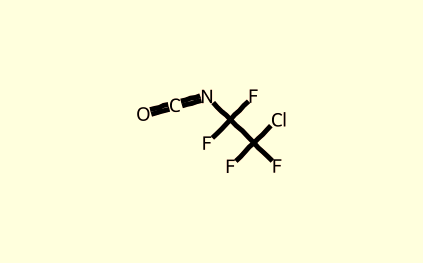 O=C=NC(F)(F)C(F)(F)Cl